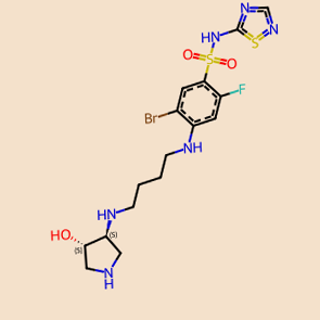 O=S(=O)(Nc1ncns1)c1cc(Br)c(NCCCCN[C@H]2CNC[C@@H]2O)cc1F